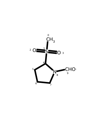 CS(=O)(=O)C1CCCN1[C]=O